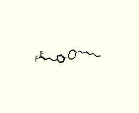 CCCCCCC[C@H]1CC[C@H](c2ccc(CCC=C(F)F)cc2)CC1